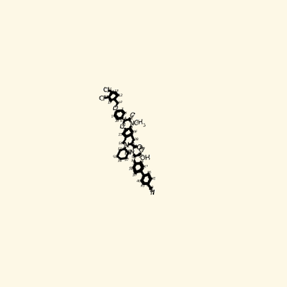 CN1C(=O)[C@H](c2ccc(OCc3ccc(Cl)c(Cl)c3)cc2)Oc2cc3c(cc21)CC(C(=O)N[C@@H](Cc1ccc(-c2ccc(C#N)cc2)cc1)C(=O)O)N(C1CCCCC1)C3